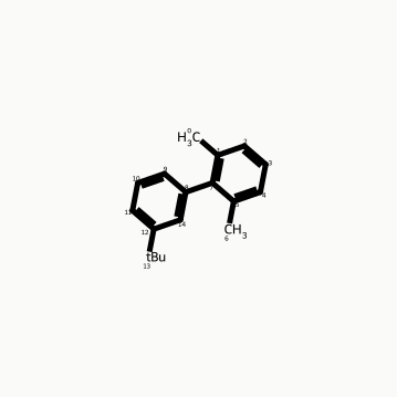 Cc1cccc(C)c1-c1[c]ccc(C(C)(C)C)c1